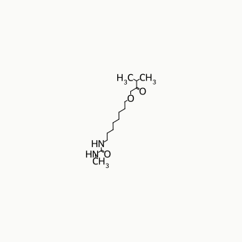 CNC(=O)NCCCCCCCCOCC(=O)C(C)C